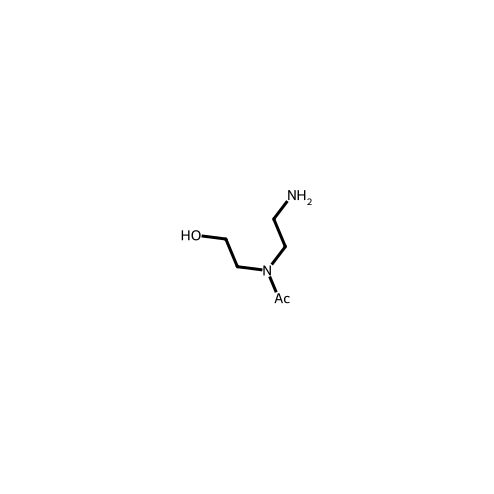 CC(=O)N(CCN)CCO